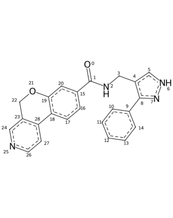 O=C(NCc1c[nH]nc1-c1ccccc1)c1ccc2c(c1)OCc1cnccc1-2